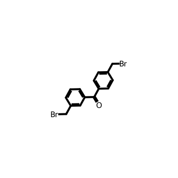 O=C(c1ccc(CBr)cc1)c1cccc(CBr)c1